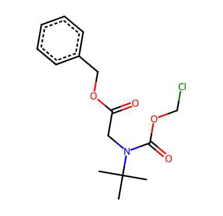 CC(C)(C)N(CC(=O)OCc1ccccc1)C(=O)OCCl